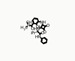 CC(C)[C@H](NC1C(=O)C(=O)[C@@H]1Nc1cccc(C(=O)N(C)C)c1O)C(=O)Nc1ccccc1